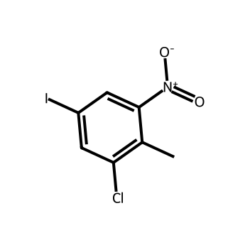 Cc1c(Cl)cc(I)cc1[N+](=O)[O-]